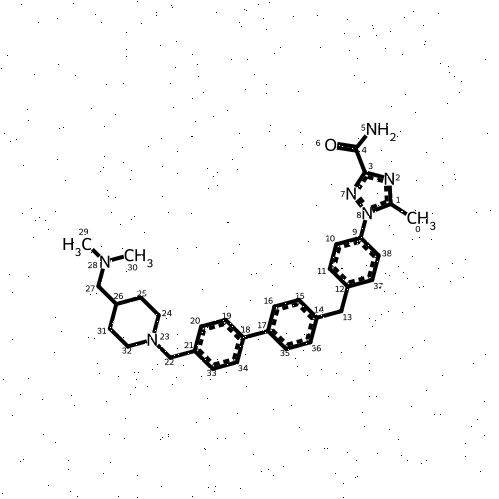 Cc1nc(C(N)=O)nn1-c1ccc(Cc2ccc(-c3ccc(CN4CCC(CN(C)C)CC4)cc3)cc2)cc1